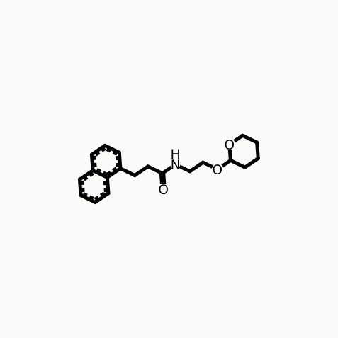 O=C(CCc1cccc2ccccc12)NCCOC1CCCCO1